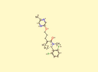 C=C(CCCOc1cnc(C#N)cn1)C(=O)N(C)[C@@H](C)c1c(F)cccc1F